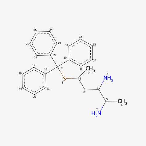 CC(CC(N)C(C)N)SC(c1ccccc1)(c1ccccc1)c1ccccc1